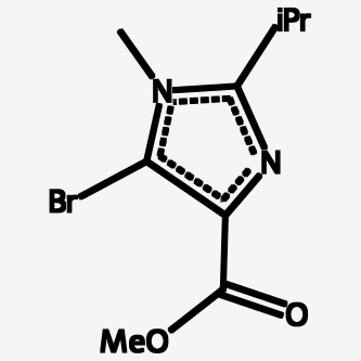 COC(=O)c1nc(C(C)C)n(C)c1Br